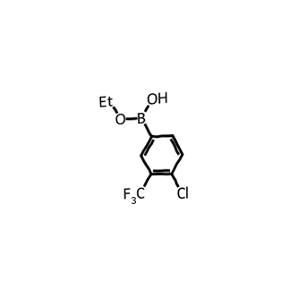 CCOB(O)c1ccc(Cl)c(C(F)(F)F)c1